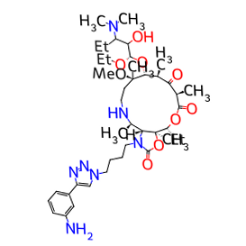 CCO[C@@H](O[C@@H]1[C@@H](C)C(=O)[C@@H](C)C(=O)O[C@H](CC)[C@@]2(C)OC(=O)N(CCCCn3cc(-c4cccc(N)c4)nn3)[C@@H]2[C@@H](C)NCC[C@@]1(C)OC)C(O)C(CC)N(C)C